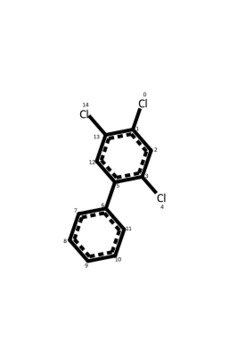 Clc1cc(Cl)c(-c2cc[c]cc2)cc1Cl